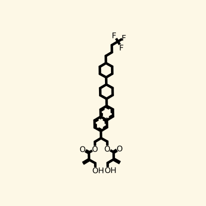 C=C(CO)C(=O)OCC(COC(=O)C(=C)CO)c1ccc2cc(C3CCC(C4CCC(CCCC(F)(F)F)CC4)CC3)ccc2c1